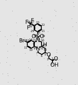 O=C(O)COC1CCN2c3ccc(Br)cc3N(S(=O)(=O)c3cccc(C(F)(F)F)c3)C[C@@H]2C1